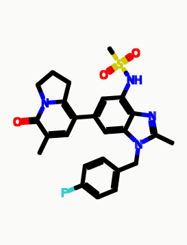 Cc1cc(-c2cc(NS(C)(=O)=O)c3nc(C)n(Cc4ccc(F)cc4)c3c2)c2n(c1=O)CCC2